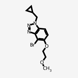 COCCOc1ccc2c(nnn2CC2CC2)c1Br